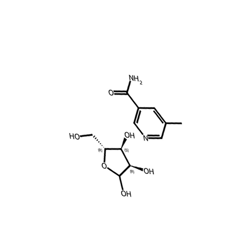 Cc1cncc(C(N)=O)c1.OC[C@H]1OC(O)[C@H](O)[C@@H]1O